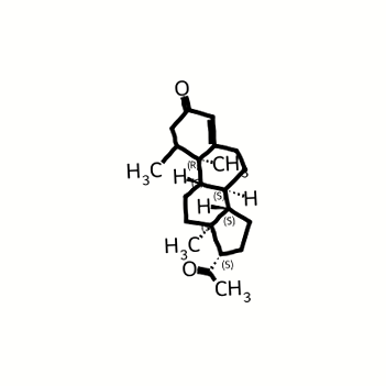 CC(=O)[C@H]1CC[C@H]2[C@@H]3CCC4=CC(=O)CC(C)[C@]4(C)[C@H]3CC[C@]12C